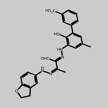 CC(=N/Nc1ccc2c(c1)CCO2)/C(C=O)=N/Nc1cc(F)cc(-c2cccc(C(=O)O)c2)c1O